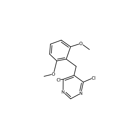 COc1cccc(OC)c1Cc1c(Cl)ncnc1Cl